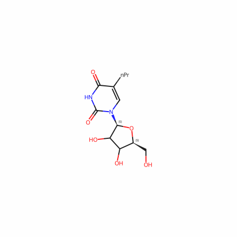 CCCc1cn([C@H]2O[C@@H](CO)C(O)C2O)c(=O)[nH]c1=O